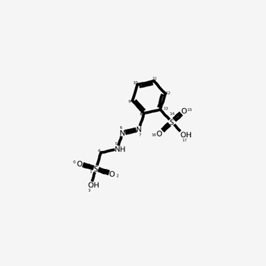 O=S(=O)(O)CNN=Nc1ccccc1S(=O)(=O)O